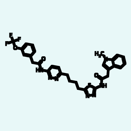 Cn1cc(CC(=O)Nc2nnc(CCCCc3ccc(NC(=O)Cc4cccc(OC(F)(F)F)c4)nn3)s2)c2ccccc21